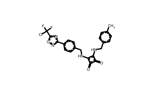 Cc1ccc(CNc2c(NCc3ccc(-c4noc(C(F)(F)Cl)n4)cc3)c(=O)c2=O)cc1